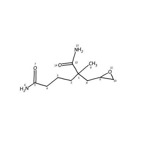 CC(CCCC(N)=O)(CC1CO1)C(N)=O